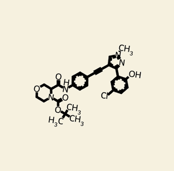 Cn1cc(C#Cc2ccc(NC(=O)C3COCCN3C(=O)OC(C)(C)C)cc2)c(-c2cc(Cl)ccc2O)n1